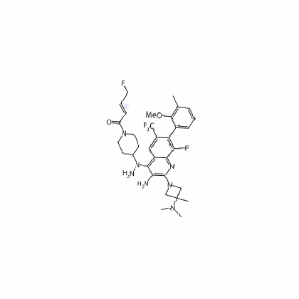 COc1c(C)cccc1-c1c(C(F)(F)F)cc2c(N(N)C3CCN(C(=O)/C=C/CF)CC3)c(N)c(N3CC(C)(N(C)C)C3)nc2c1F